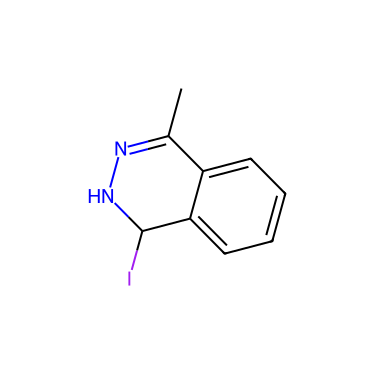 CC1=NNC(I)c2ccccc21